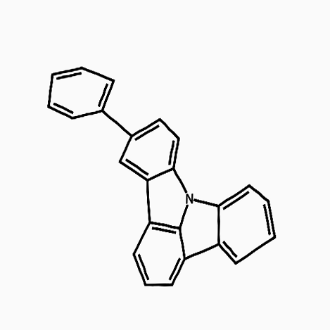 c1ccc(-c2ccc3c(c2)c2cccc4c5ccccc5n3c42)cc1